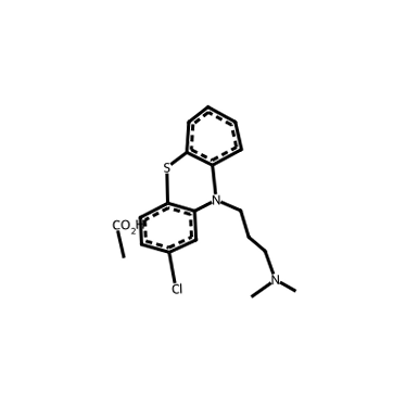 CC(=O)O.CN(C)CCCN1c2ccccc2Sc2ccc(Cl)cc21